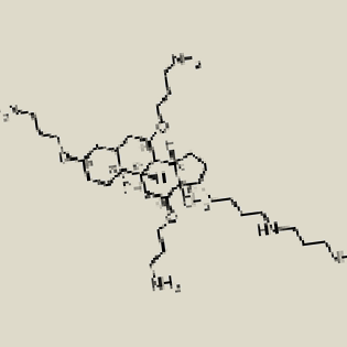 CC12[C@@H](CCCCNCCCN)CC[C@H]1C1[C@H](OCCCN)CC3C[C@H](OCCCN)CC[C@]3(C)[C@H]1C[C@@H]2OCCCN